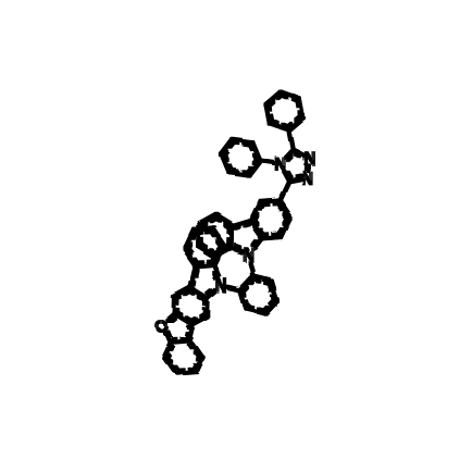 c1ccc(-c2nnc(-c3ccc4c(c3)c3ccccc3n4-c3ccccc3-n3c4ccccc4c4cc5oc6ccccc6c5cc43)n2-c2ccccc2)cc1